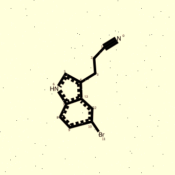 N#CCCc1c[nH]c2ccc(Br)cc12